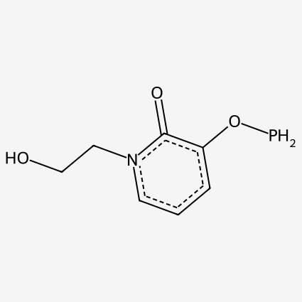 O=c1c(OP)cccn1CCO